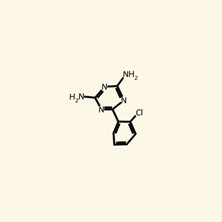 Nc1nc(N)nc(-c2ccccc2Cl)n1